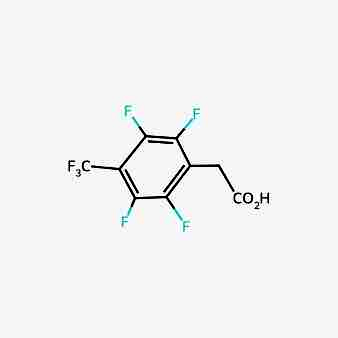 O=C(O)Cc1c(F)c(F)c(C(F)(F)F)c(F)c1F